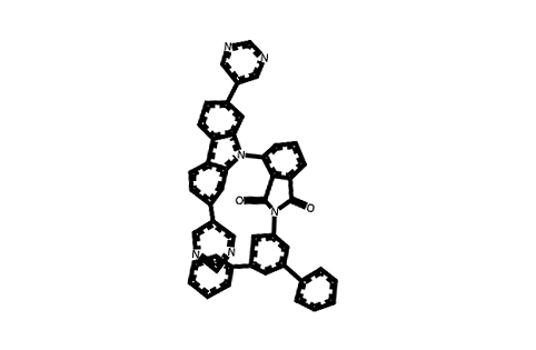 O=C1c2cccc(-n3c4cc(-c5cncnc5)ccc4c4ccc(-c5cncnc5)cc43)c2C(=O)N1c1cc(-c2ccccc2)cc(-c2ccccc2)c1